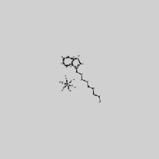 CCCCCCCCC[n+]1csc2ccccc21.F[P-](F)(F)(F)(F)F